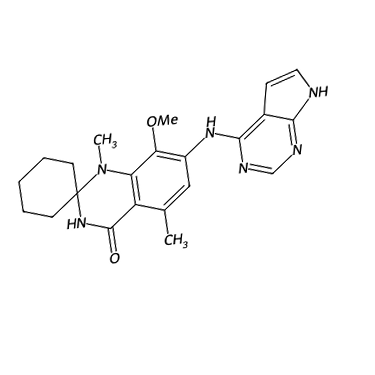 COc1c(Nc2ncnc3[nH]ccc23)cc(C)c2c1N(C)C1(CCCCC1)NC2=O